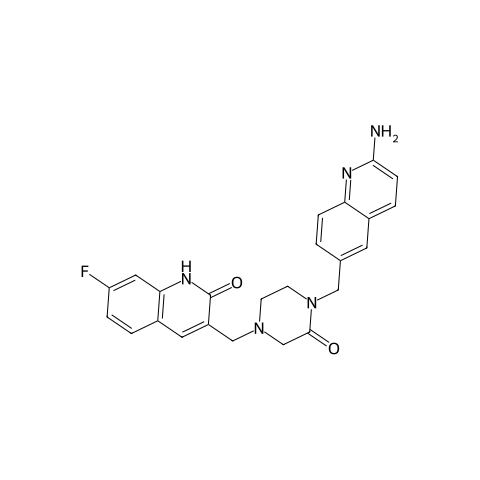 Nc1ccc2cc(CN3CCN(Cc4cc5ccc(F)cc5[nH]c4=O)CC3=O)ccc2n1